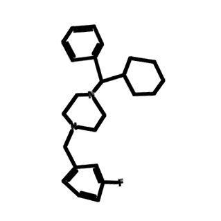 Fc1cccc(CN2CCN(C(c3ccccc3)C3CCCCC3)CC2)c1